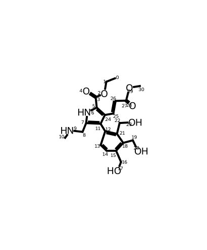 CCOC(=O)c1[nH]c(CNC)c(-c2ccc(CO)c(CO)c2CO)c1/C=C/C(=O)OC